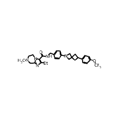 CCc1nc2n(c1C(=O)NCc1ccc(N3CC4(CC(c5ccc(OC(F)(F)F)cc5)C4)C3)cc1)CCN(C)C2